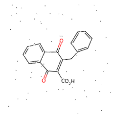 O=C(O)C1=C(Cc2ccccc2)C(=O)c2ccccc2C1=O